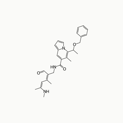 CN/C(C)=C\C(C)=C(/C=O)CNC(=O)c1cc2cccn2c(C(C)OCc2ccccc2)c1C